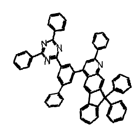 c1ccc(-c2cc(-c3nc(-c4ccccc4)nc(-c4ccccc4)n3)cc(-c3cc(-c4ccccc4)nc4cc5c(cc34)-c3ccccc3C5(c3ccccc3)c3ccccc3)c2)cc1